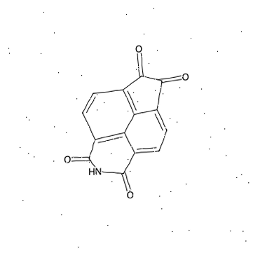 O=c1[nH]c(=O)c2ccc3c(=O)c(=O)c4ccc1c2c43